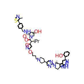 Cc1ncsc1-c1ccc(CNC(=O)[C@@H]2C[C@@H](O)CN2C(=O)C(c2cc(OCCCCN3CCC(c4cnc(N5CCc6[nH]c7nnc(-c8ccccc8O)cc7c6[C@H]5C)nc4)CC3)no2)C(C)C)cc1